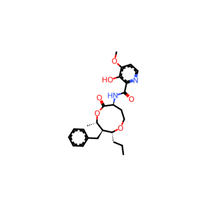 CCC[C@H]1OCC[C@H](NC(=O)c2nccc(OC)c2O)C(=O)O[C@@H](C)[C@@H]1Cc1ccccc1